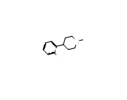 CN1CCC(c2ccccc2C(F)(F)F)CC1